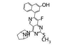 CSc1nc(N2CC3CCC(C2)N3)c2cnc(-c3cc(O)cc4ccccc34)c(F)c2n1